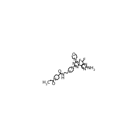 C=CC(=O)N1CCC(C(=O)NCCN2CCN(c3nc(-c4cnc(N)nc4C(F)F)nc(N4CCOCC4)n3)CC2)CC1